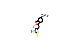 COc1ccc2c(C=C3SC(=S)NC3=O)occ2c1